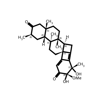 CO[C@@]1(O)C(=O)C=C2C(=C3C[C@H]4[C@@]23CC[C@@]2(C)[C@@H]3C[C@@H](C)C(=O)C[C@]3(C)CC[C@]42C)[C@]1(C)O